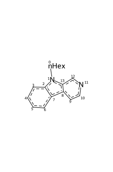 CCCCCCn1c2ccccc2c2ccncc21